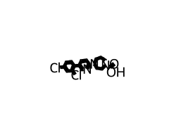 O=C(O)N1CCCN(c2ccc(-c3ccc(Cl)cc3Cl)cn2)CC1